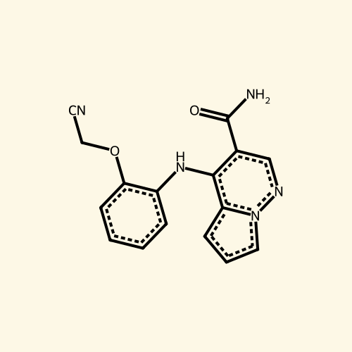 N#CCOc1ccccc1Nc1c(C(N)=O)cnn2cccc12